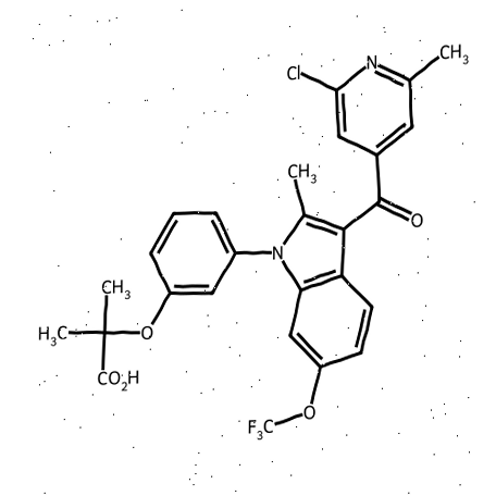 Cc1cc(C(=O)c2c(C)n(-c3cccc(OC(C)(C)C(=O)O)c3)c3cc(OC(F)(F)F)ccc23)cc(Cl)n1